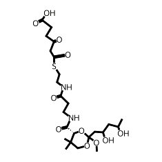 COC1(CC(O)CC(C)O)OCC(C)(C)[C@H](C(=O)NCCC(=O)NCCSC(=O)CC(=O)CCC(=O)O)O1